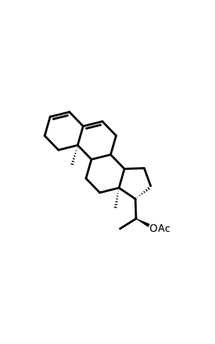 CC(=O)O[C@@H](C)[C@H]1CCC2C3CC=C4C=CCC[C@]4(C)C3CC[C@@]21C